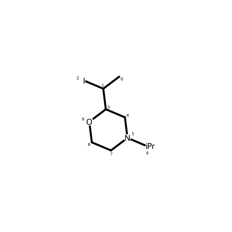 CC(I)C1CN(C(C)C)CCO1